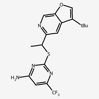 CC(Sc1nc(N)cc(C(F)(F)F)n1)c1cc2c(C(C)(C)C)coc2cn1